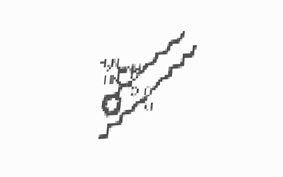 CCCCCCCCOC(=O)C(NC(=N)N)c1ccccc1.CCCCCCCCOC(=O)CCCCCCC